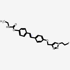 CCNC(=O)Oc1ccc(/C=C/c2ccc(OCc3cn(CCF)nn3)cc2)cc1